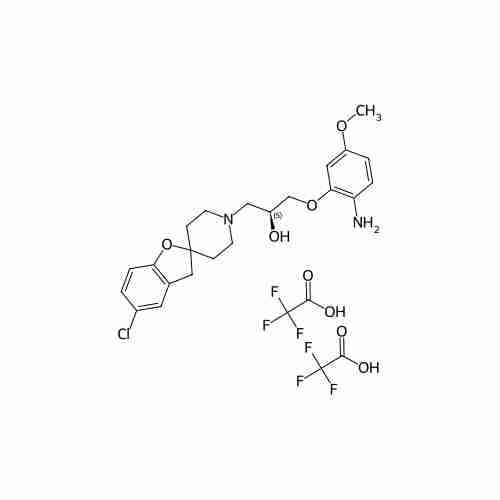 COc1ccc(N)c(OC[C@@H](O)CN2CCC3(CC2)Cc2cc(Cl)ccc2O3)c1.O=C(O)C(F)(F)F.O=C(O)C(F)(F)F